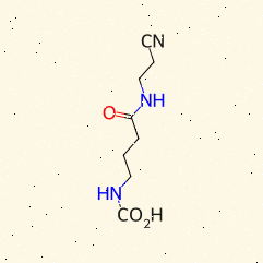 N#CCCNC(=O)CCCNC(=O)O